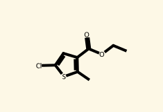 CCOC(=O)c1cc(Cl)sc1C